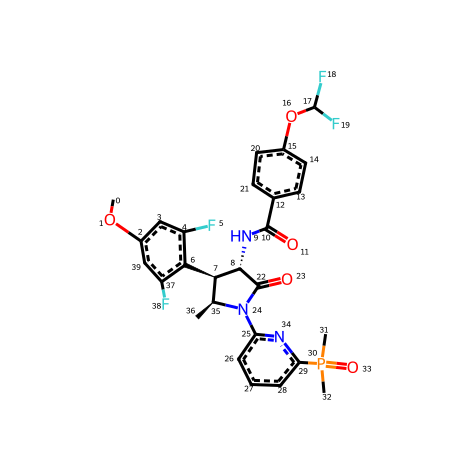 COc1cc(F)c([C@H]2[C@H](NC(=O)c3ccc(OC(F)F)cc3)C(=O)N(c3cccc(P(C)(C)=O)n3)[C@H]2C)c(F)c1